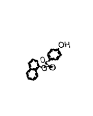 O=S(=O)(Oc1cccc2ccccc12)c1ccc(O)cc1